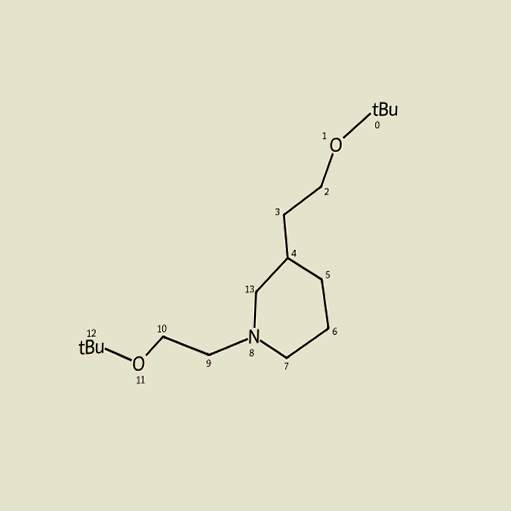 CC(C)(C)OCCC1CCCN(CCOC(C)(C)C)C1